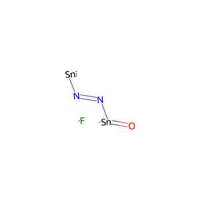 [F].[O]=[Sn][N]=[N][Sn]